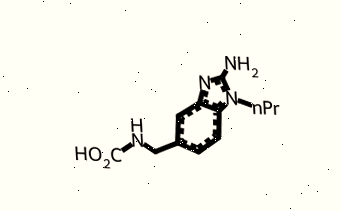 CCCn1c(N)nc2cc(CNC(=O)O)ccc21